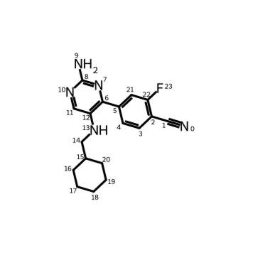 N#Cc1ccc(-c2nc(N)ncc2NCC2CCCCC2)cc1F